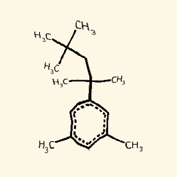 Cc1[c]c(C)cc(C(C)(C)CC(C)(C)C)c1